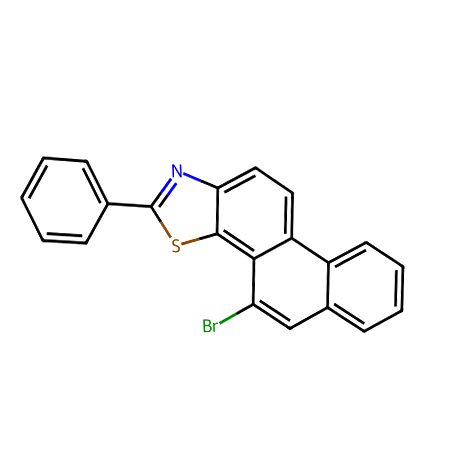 Brc1cc2ccccc2c2ccc3nc(-c4ccccc4)sc3c12